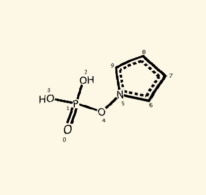 O=P(O)(O)On1cccc1